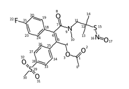 CC(=O)OC/C(=C(\C(=O)N(C)CC(C)(C)SN=O)c1ccc(F)cc1)c1ccc(S(C)(=O)=O)cc1